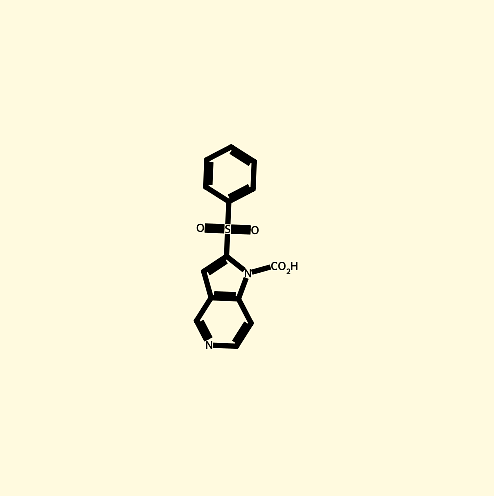 O=C(O)n1c(S(=O)(=O)c2ccccc2)cc2cnccc21